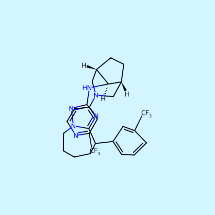 FC(F)(F)c1cccc(C2CCCCn3nc(N[C@@H]4[C@@H]5CC[C@H]4CN(c4ccnc(C(F)(F)F)c4)C5)nc32)c1